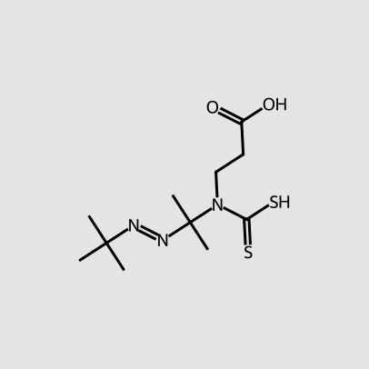 CC(C)(C)N=NC(C)(C)N(CCC(=O)O)C(=S)S